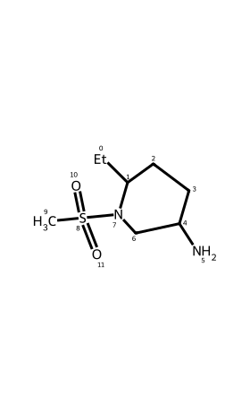 CCC1CCC(N)CN1S(C)(=O)=O